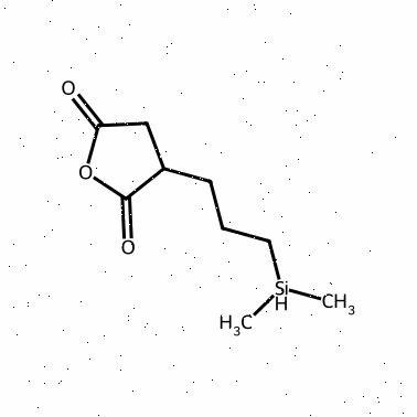 C[SiH](C)CCCC1CC(=O)OC1=O